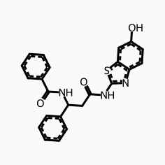 O=C(CC(NC(=O)c1ccccc1)c1ccccc1)Nc1nc2ccc(O)cc2s1